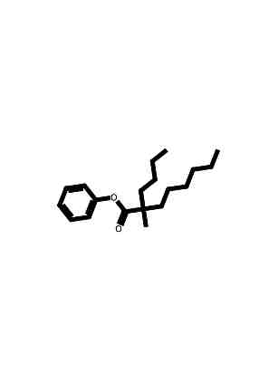 CCCCCCC(C)(CCCC)C(=O)Oc1ccccc1